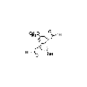 O=C(O)CN(CCN(CC(=O)O)CC(=O)O)CC(=O)O.[Co].[NaH]